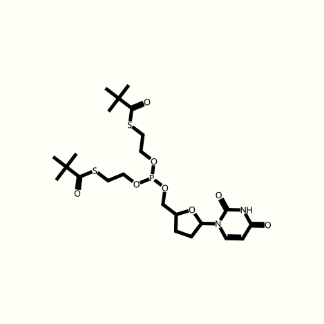 CC(C)(C)C(=O)SCCOP(OCCSC(=O)C(C)(C)C)OCC1CCC(n2ccc(=O)[nH]c2=O)O1